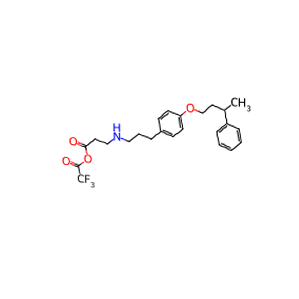 CC(CCOc1ccc(CCCNCCC(=O)OC(=O)C(F)(F)F)cc1)c1ccccc1